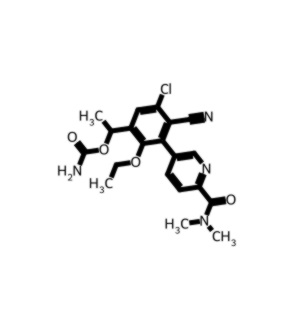 CCOc1c(C(C)OC(N)=O)cc(Cl)c(C#N)c1-c1ccc(C(=O)N(C)C)nc1